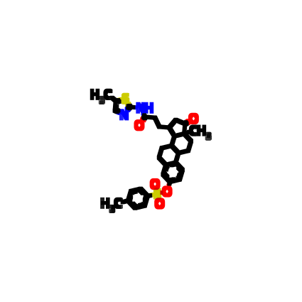 Cc1ccc(S(=O)(=O)Oc2ccc3c(c2)CCC2C3CCC3(C)C(=O)CC(CCC(=O)Nc4ncc(C)s4)C23)cc1